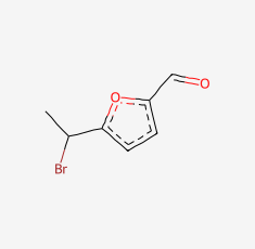 CC(Br)c1ccc(C=O)o1